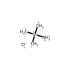 [CH3][Sn]([CH3])([CH3])[NH3+].[Cl-]